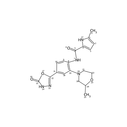 Cc1ccc(C(=O)Nc2ccc(-c3n[nH]c(=O)o3)cc2N2CCOC(C)C2)[nH]1